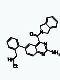 CCNCc1ccccc1-c1ccc2nc(N)nc(C(=O)N3Cc4ccccc4C3)c2c1